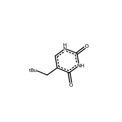 CC(C)(C)Cc1c[nH]c(=O)[nH]c1=O